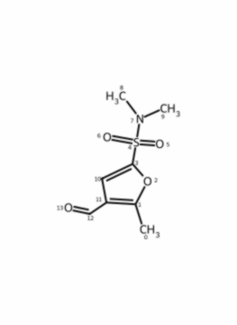 Cc1oc(S(=O)(=O)N(C)C)cc1C=O